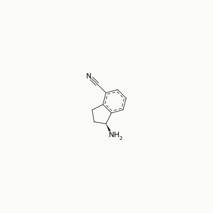 N#Cc1cccc2c1CC[C@@H]2N